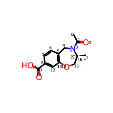 CC(=O)N1Cc2ccc(C(=O)O)cc2OC[C@@H]1C